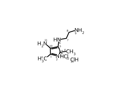 Cc1nn(C)c(NCCN)c1N.Cl.Cl